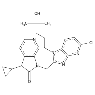 CC(C)(O)CCCn1c(CN2C(=O)C(C3CC3)c3ccncc32)nc2nc(Cl)ccc21